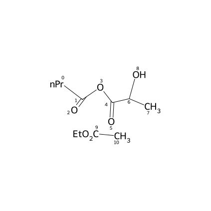 CCCC(=O)OC(=O)C(C)O.CCOC(C)=O